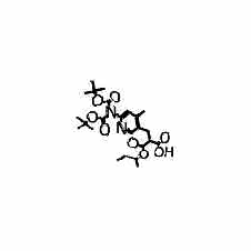 CCC(C)OC(=O)C(Cc1cnc(N(C(=O)OC(C)(C)C)C(=O)OC(C)(C)C)cc1C)C(=O)O